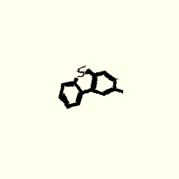 Cc1[c]cc2sc3ccccc3c2c1